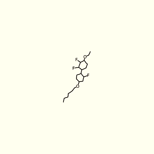 CCCCCCOC1CCC(C2CCC(OCC)C(F)C2F)C(F)C1